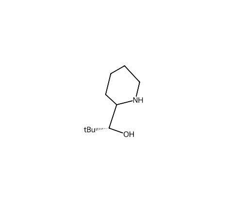 CC(C)(C)[C@@H](O)C1CCCCN1